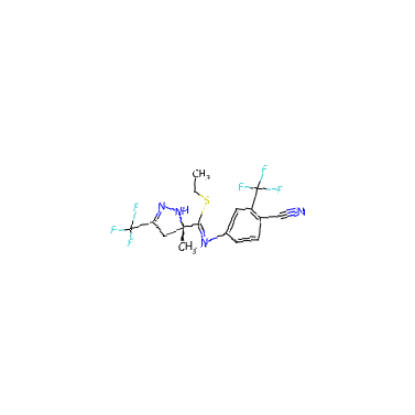 CCSC(=Nc1ccc(C#N)c(C(F)(F)F)c1)[C@]1(C)CC(C(F)(F)F)=NN1